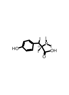 O=C(O)[C@](I)(C(I)c1ccc(O)cc1)N(I)I